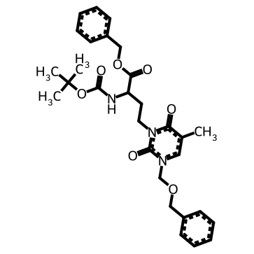 Cc1cn(COCc2ccccc2)c(=O)n(CCC(NC(=O)OC(C)(C)C)C(=O)OCc2ccccc2)c1=O